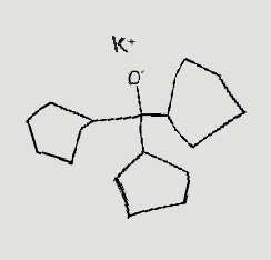 [K+].[O-]C(C1CCCC1)(C1CCCC1)C1CCCC1